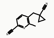 Cc1nc(C#N)ccc1CC1(C#N)CC1